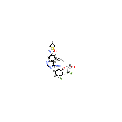 Cc1cc(N=S2(=O)CCC2)cc2ncnc(Nc3ccc(F)cc3O[C@H](CO)C(F)F)c12